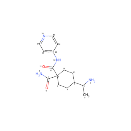 CC(N)C1CCC(C(N)=O)(C(=O)Nc2ccncc2)CC1